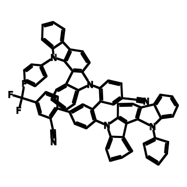 N#Cc1ccc(-n2c3ccccc3c3c2ccc2c4ccccc4n(-c4ccccc4)c23)c(-c2cc(-c3ccc(C(F)(F)F)cc3C#N)ccc2-n2c3ccccc3c3c2ccc2c4ccccc4n(-c4ccccc4)c23)c1